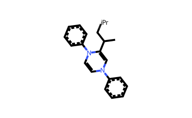 CC(C)CC(C)C1=CN(c2ccccc2)C=CN1c1ccccc1